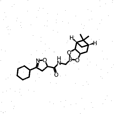 CC1(C)[C@@H]2CC3OB(CNC(=O)C4CC(C5CCCCC5)=NO4)OC3[C@H]1C2